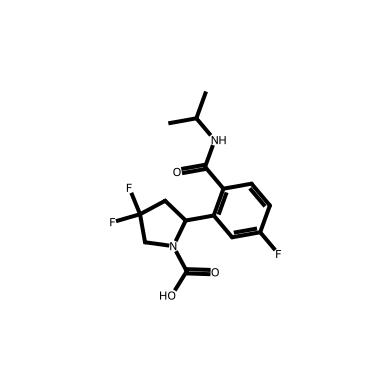 CC(C)NC(=O)c1ccc(F)cc1C1CC(F)(F)CN1C(=O)O